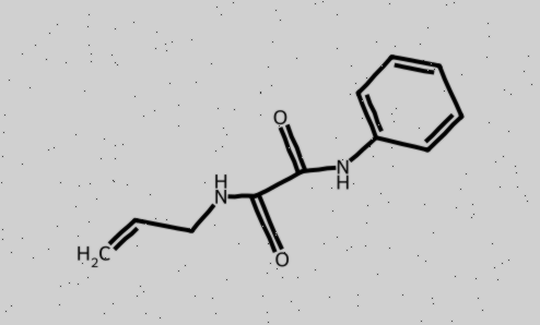 C=CCNC(=O)C(=O)Nc1ccccc1